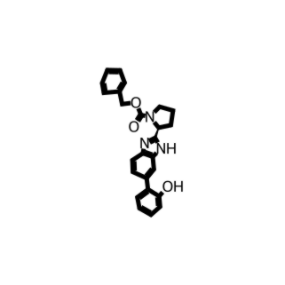 O=C(OCc1ccccc1)N1CCC[C@H]1c1nc2ccc(-c3ccccc3O)cc2[nH]1